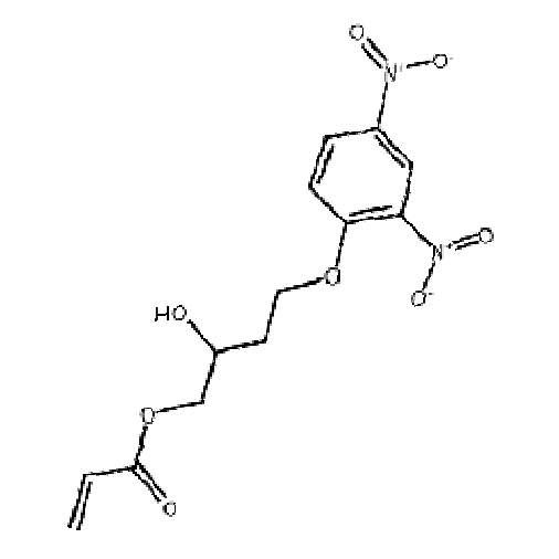 C=CC(=O)OCC(O)CCOc1ccc([N+](=O)[O-])cc1[N+](=O)[O-]